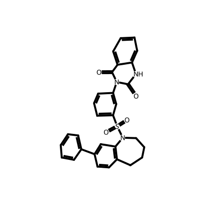 O=c1[nH]c2ccccc2c(=O)n1-c1cccc(S(=O)(=O)N2CCCCc3ccc(-c4ccccc4)cc32)c1